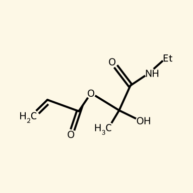 C=CC(=O)OC(C)(O)C(=O)NCC